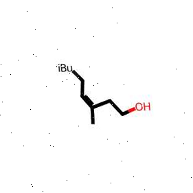 CCC(C)CC=C(C)CCO